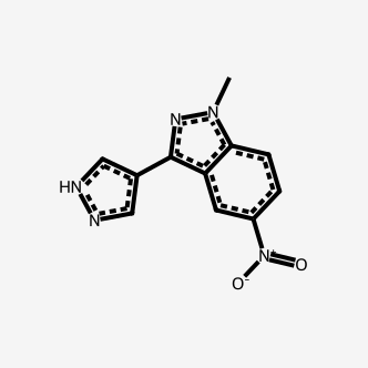 Cn1nc(-c2cn[nH]c2)c2cc([N+](=O)[O-])ccc21